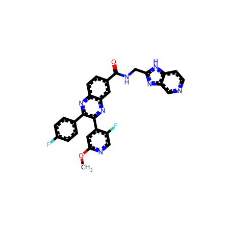 COc1cc(-c2nc3cc(C(=O)NCc4nc5cnccc5[nH]4)ccc3nc2-c2ccc(F)cc2)c(F)cn1